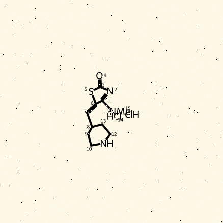 CNC1=NC(=O)SC1=CC1CCNCC1.Cl.Cl